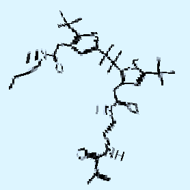 C=C(C)C(=O)NCCNC(=O)Cc1cc(C(C)(C)C)sc1C(C)(C)C(C)(C)c1cc(CC(=O)NCCC)c(C(C)(C)C)s1